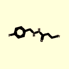 CC(C)CCC(=O)NNCc1ccc(F)cc1